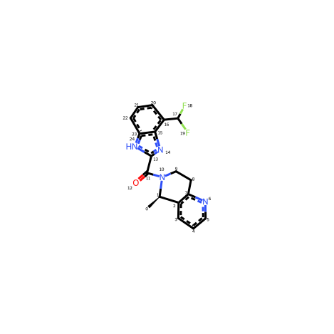 C[C@@H]1c2cccnc2CCN1C(=O)c1nc2c(C(F)F)cccc2[nH]1